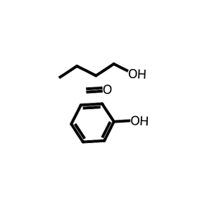 C=O.CCCCO.Oc1ccccc1